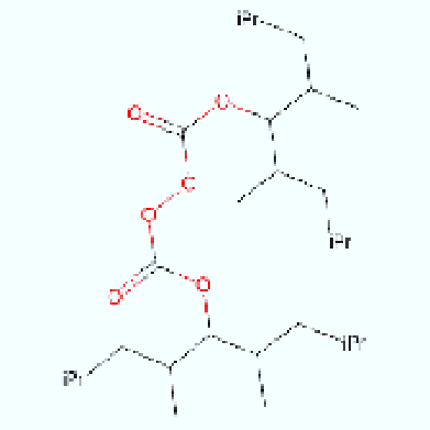 CC(C)CC(C)C(OC(=O)OOC(=O)OC(C(C)CC(C)C)C(C)CC(C)C)C(C)CC(C)C